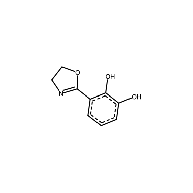 Oc1cccc(C2=NCCO2)c1O